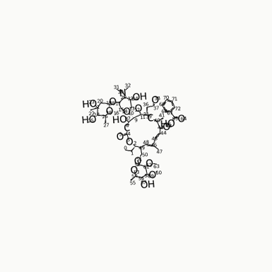 CC[C@H]1OC(=O)C[C@@H](O)[C@H](C)[C@@H](O[C@@H]2O[C@H](C)[C@@H](O[C@H]3C[C@@](C)(O)[C@@H](O)[C@H](C)O3)[C@H](N(C)C)[C@H]2O)[C@@H](CC=O)C[C@@H](C)C(=O)/C=C/C(C)=C/C1CO[C@@H]1O[C@H](C)[C@@H](O)[C@@H](OC)[C@H]1OC.O=C(O)c1ccccc1